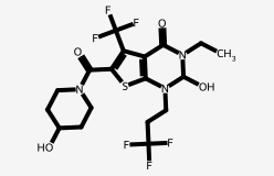 CCN1C(=O)c2c(sc(C(=O)N3CCC(O)CC3)c2C(F)(F)F)N(CCC(F)(F)F)C1O